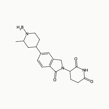 BN1CCC(c2ccc3c(c2)CN(C2CCC(=O)NC2=O)C3=O)CC1C